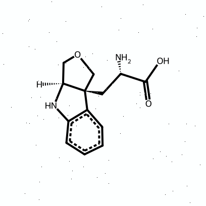 N[C@@H](C[C@]12COC[C@@H]1Nc1ccccc12)C(=O)O